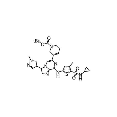 Cc1cc(NC2=NC(C3=CCCN(C(=O)OC(C)(C)C)C3)=CN3C2=NCC3C2C=NN(C)C2)sc1S(=O)(=O)NC1CC1